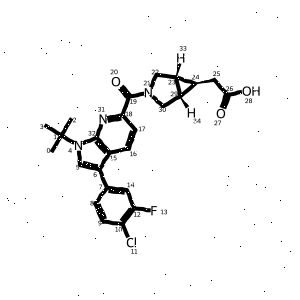 CC(C)(C)n1cc(-c2ccc(Cl)c(F)c2)c2ccc(C(=O)N3C[C@@H]4[C@@H](CC(=O)O)[C@@H]4C3)nc21